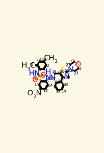 Cc1ccc(NS(=O)(=O)c2cc([N+](=O)[O-])ccc2N/N=C/c2sc(N3CCOCC3)nc2-c2ccccc2)c(C)c1